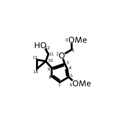 COCOc1cc(OC)ccc1C1(CO)CC1